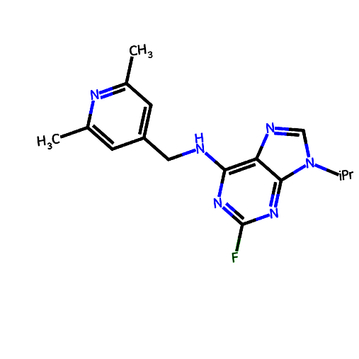 Cc1cc(CNc2nc(F)nc3c2ncn3C(C)C)cc(C)n1